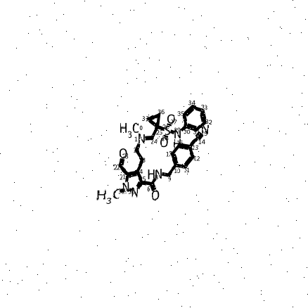 CN(CCc1c(C(=O)NCc2ccc(C#N)cc2)nn(C)c1C=O)CC1(S(=O)(=O)Nc2ccccc2)CC1